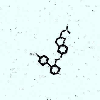 COc1ccc(-c2ccccc2COc2ccc3c(c2)CCC(CN(C)C)C3)cc1